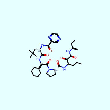 C=C(CC)NC(=O)C(=O)C(CCC)NC(=O)[C@@H]1CCCN1C(=O)C(NC(=O)[C@H](CC(C)(C)C)NC(=O)c1cnccn1)=C1CCCCC1